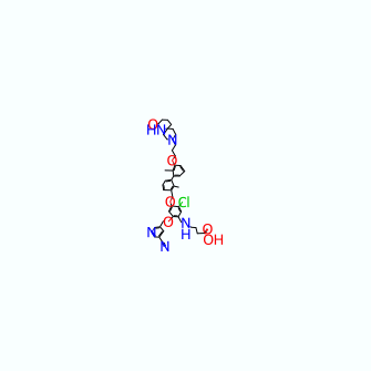 Cc1c(COc2cc(OCc3cncc(C#N)c3)c(CNCCCC(=O)O)cc2Cl)cccc1-c1cccc(OCCCN2CCC3(CCCC(=O)N3)CC2)c1C